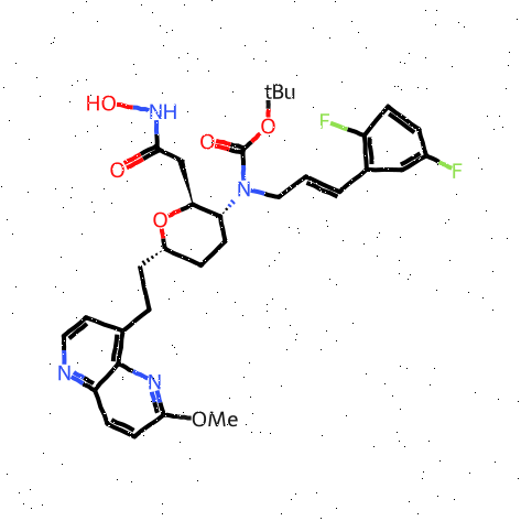 COc1ccc2nccc(CC[C@H]3CC[C@@H](N(C/C=C/c4cc(F)ccc4F)C(=O)OC(C)(C)C)[C@H](CC(=O)NO)O3)c2n1